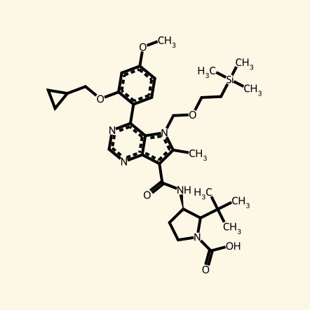 COc1ccc(-c2ncnc3c(C(=O)N[C@@H]4CCN(C(=O)O)C4C(C)(C)C)c(C)n(COCC[Si](C)(C)C)c23)c(OCC2CC2)c1